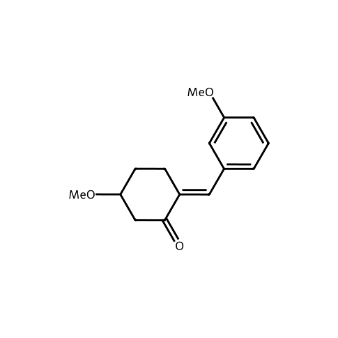 COc1cccc(C=C2CCC(OC)CC2=O)c1